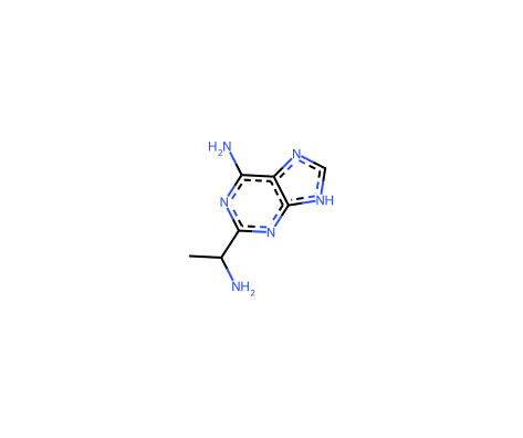 CC(N)c1nc(N)c2nc[nH]c2n1